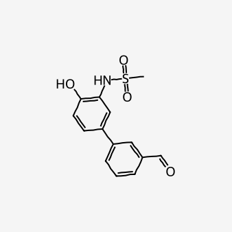 CS(=O)(=O)Nc1cc(-c2cccc(C=O)c2)ccc1O